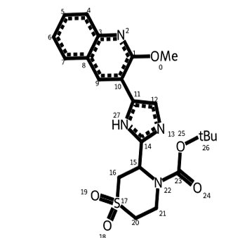 COc1nc2ccccc2cc1-c1cnc(C2CS(=O)(=O)CCN2C(=O)OC(C)(C)C)[nH]1